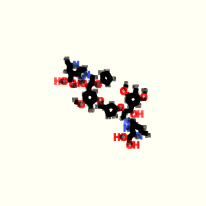 COc1cc(C(O)C(Cn2cc3cc(C)nc(C(O)O)c3n2)OC2CCC(COc3cc(C(O)C(Cn4cc5nc(C)cc(C(=O)O)c5n4)OC4CCCC4)cc(OC)c3C)C2)cc(OC)c1C